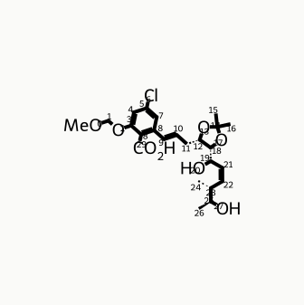 COCOc1cc(Cl)cc(/C=C/C[C@@H]2OC(C)(C)O[C@@H]2C(O)/C=C\[C@@H](C)[C@H](C)O)c1C(=O)O